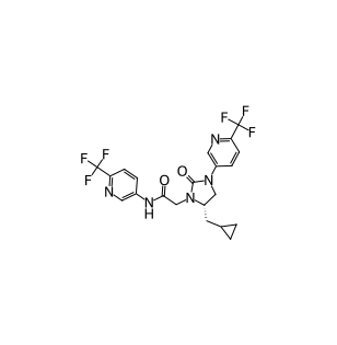 O=C(CN1C(=O)N(c2ccc(C(F)(F)F)nc2)C[C@@H]1CC1CC1)Nc1ccc(C(F)(F)F)nc1